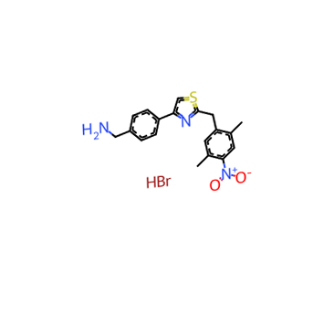 Br.Cc1cc([N+](=O)[O-])c(C)cc1Cc1nc(-c2ccc(CN)cc2)cs1